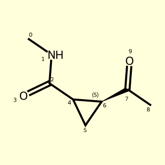 CNC(=O)C1C[C@@H]1C(C)=O